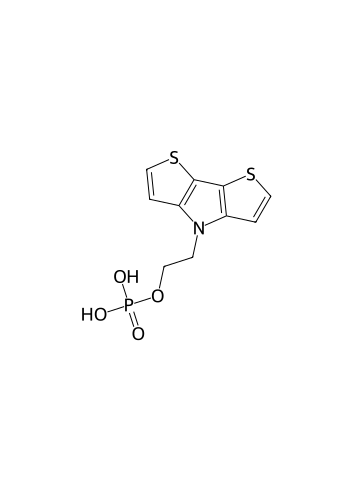 O=P(O)(O)OCCn1c2ccsc2c2sccc21